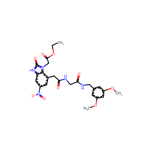 CCOC(=O)Cn1c(=O)[nH]c2cc([N+](=O)[O-])cc(CC(=O)NCC(=O)NCc3cc(OC)cc(OC)c3)c21